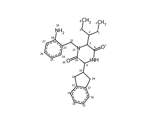 CCC(CC)C1C(=O)NC(C2Cc3ccccc3C2)C(=O)N1Cc1ccccc1N